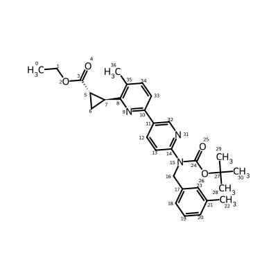 CCOC(=O)[C@H]1C[C@@H]1c1nc(-c2ccc(N(Cc3cccc(C)c3)C(=O)OC(C)(C)C)nc2)ccc1C